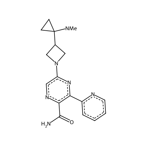 CNC1(C2CN(c3cnc(C(N)=O)c(-c4ccccn4)n3)C2)CC1